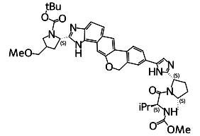 COCC1C[C@@H](c2nc3ccc4cc5c(cc4c3[nH]2)OCc2cc(-c3cnc([C@@H]4CC[C@H](C)N4C(=O)[C@@H](NC(=O)OC)C(C)C)[nH]3)ccc2-5)N(C(=O)OC(C)(C)C)C1